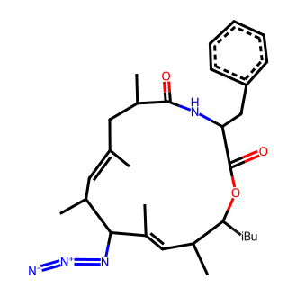 CCC(C)C1OC(=O)C(Cc2ccccc2)NC(=O)C(C)C/C(C)=C/C(C)C(N=[N+]=[N-])/C(C)=C/C1C